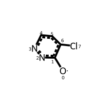 [O]c1nnccc1Cl